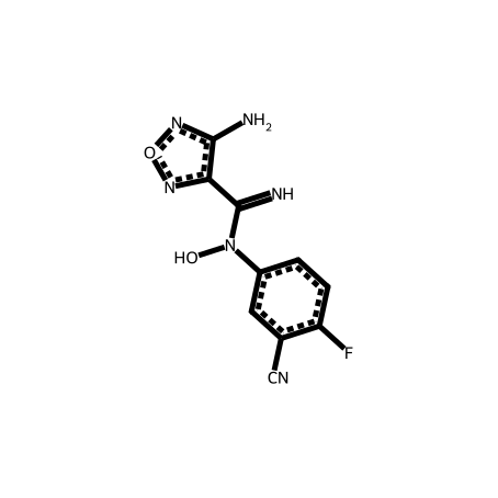 N#Cc1cc(N(O)C(=N)c2nonc2N)ccc1F